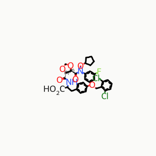 O=C(O)C(Cc1ccc(OCc2c(Cl)cccc2Cl)cc1)NC(=O)[C@@H]1OCO[C@H]1C(=O)N(OC1CCCC1)c1cccc(F)c1